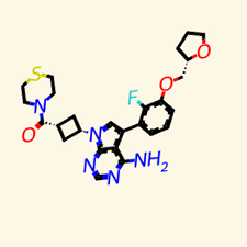 Nc1ncnc2c1c(-c1cccc(OC[C@@H]3CCCO3)c1F)cn2[C@H]1C[C@@H](C(=O)N2CCSCC2)C1